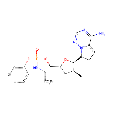 C/C=C\C(=C/CC)OP(=O)(NCC(=O)OCC)OC[C@@H]1C[C@H](C)[C@H](C2CC=C3C(N)=NC=NN32)O1